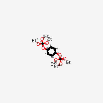 CCOC(OCC)(OCC)Oc1ccc(OC(OCC)(OCC)OCC)cc1